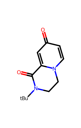 CC(C)(C)N1CCn2ccc(=O)cc2C1=O